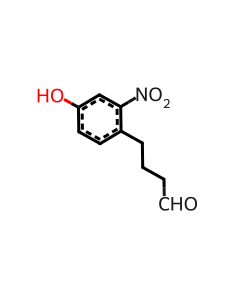 O=CCCCc1ccc(O)cc1[N+](=O)[O-]